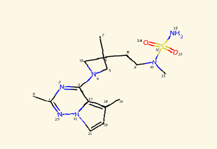 Cc1nc(N2CC(C)(CCN(C)S(N)(=O)=O)C2)c2c(C)ccn2n1